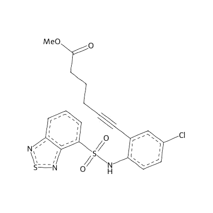 COC(=O)CCCC#Cc1cc(Cl)ccc1NS(=O)(=O)c1cccc2nsnc12